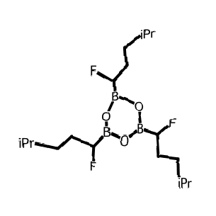 CC(C)CCC(F)B1OB(C(F)CCC(C)C)OB(C(F)CCC(C)C)O1